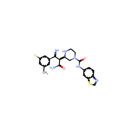 Cc1cc(F)cc(C(=N)/C(C(N)=O)=C2/CN(C(=O)Nc3ccc4ncsc4c3)CCN2)c1